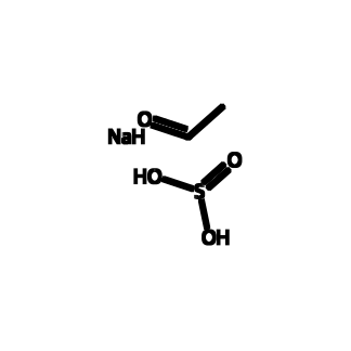 CC=O.O=S(O)O.[NaH]